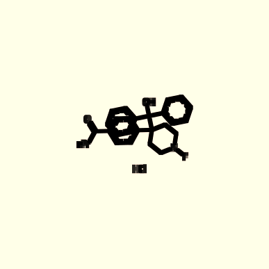 CCCC(=O)c1ccc(C2(C(O)(c3ccccc3)c3ccccc3)CCN(F)CC2)cc1.Cl